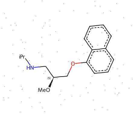 CO[C@@H](CNC(C)C)COc1cccc2ccccc12